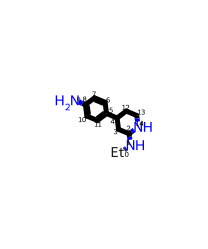 CCNC1CC(c2ccc(N)cc2)CCN1